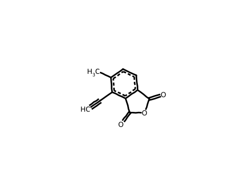 C#Cc1c(C)ccc2c1C(=O)OC2=O